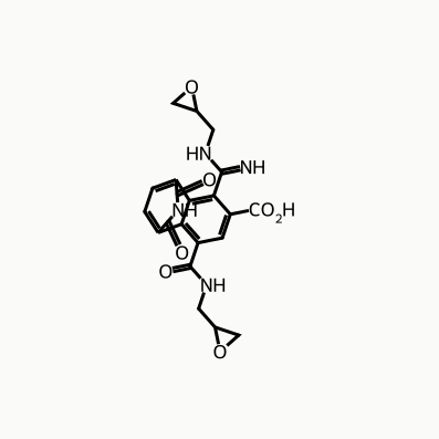 N=C(NCC1CO1)c1c(C(=O)O)cc(C(=O)NCC2CO2)c2c3ccc(c(=O)[nH]c3=O)c12